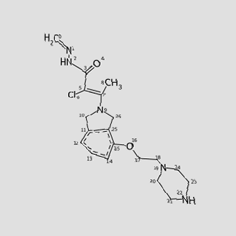 C=NNC(=O)/C(Cl)=C(\C)N1Cc2cccc(OCCN3CCNCC3)c2C1